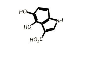 O=C(O)c1c[nH]c2ccc(O)c(O)c12